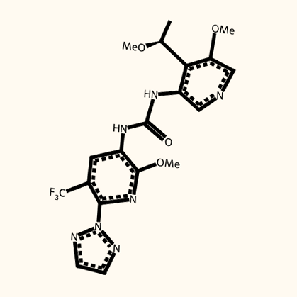 COc1cncc(NC(=O)Nc2cc(C(F)(F)F)c(-n3nccn3)nc2OC)c1[C@H](C)OC